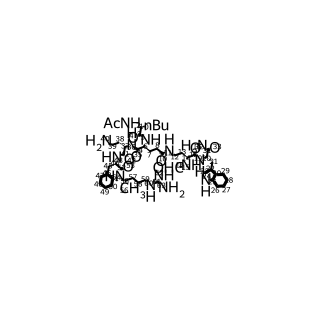 CCCC[C@H](NC(C)=O)C(=O)N[C@@H](CCC(=O)NCC[C@H](NC=O)C(=O)N[C@@H](Cc1c[nH]c2ccccc12)C(N)=O)C(=O)N[C@@H](CCN)C(=O)N[C@H](Cc1ccccc1)C(=O)N[C@H](C)CCCNC(=N)N